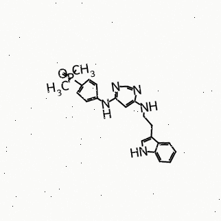 CP(C)(=O)c1ccc(Nc2cc(NCCc3c[nH]c4ccccc34)ncn2)cc1